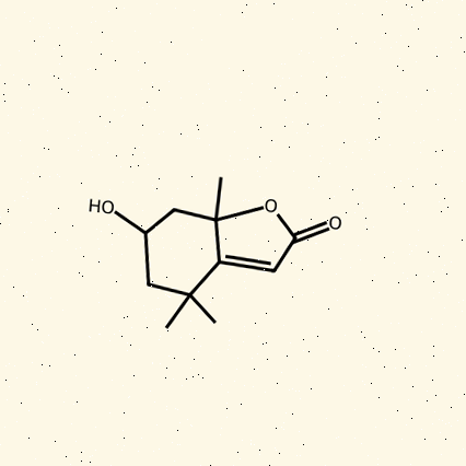 CC1(C)CC(O)CC2(C)OC(=O)C=C12